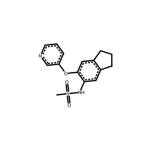 CS(=O)(=O)Nc1cc2c(cc1Oc1cccnc1)CCC2